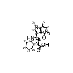 Cc1cn(C)c(=O)c2c(C(=O)N[C@H]3CCCC[C@@H]3NC(=O)O)cn(C)c12